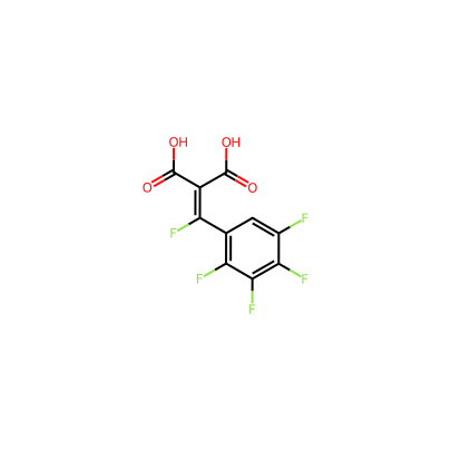 O=C(O)C(C(=O)O)=C(F)c1cc(F)c(F)c(F)c1F